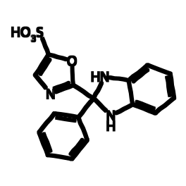 O=S(=O)(O)c1cnc(C2(c3ccccc3)Nc3ccccc3N2)o1